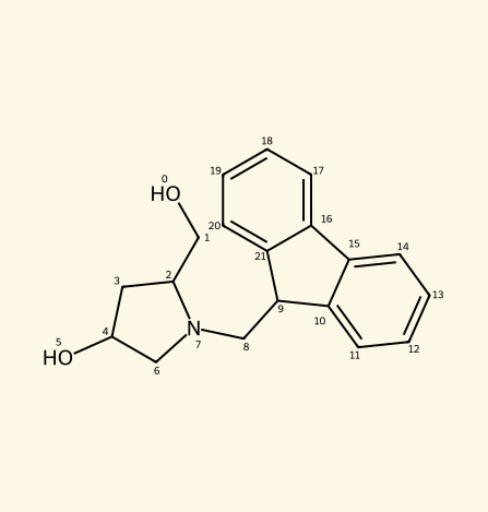 OCC1CC(O)CN1CC1c2ccccc2-c2ccccc21